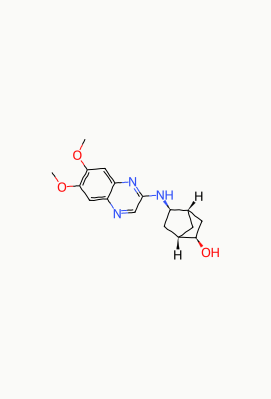 COc1cc2ncc(N[C@@H]3C[C@@H]4C[C@H]3C[C@H]4O)nc2cc1OC